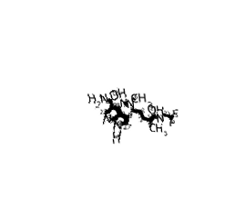 C[C@@H](CCCN(C)Nc1c(C(N)=O)cnc2[nH]ccc12)C(=O)NCC(F)F